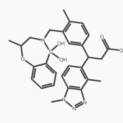 Cc1ccc(C(CC(=O)O)c2ccc3c(nnn3C)c2C)cc1CN1CC(C)Oc2ccccc2S1(O)O